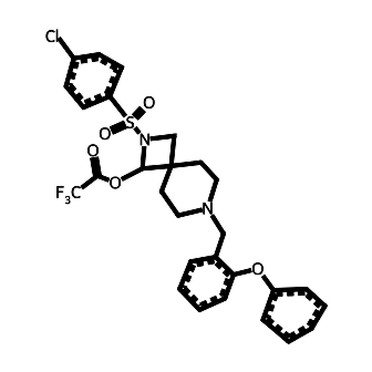 O=C(OC1N(S(=O)(=O)c2ccc(Cl)cc2)CC12CCN(Cc1ccccc1Oc1ccccc1)CC2)C(F)(F)F